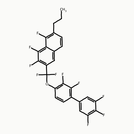 CCCc1ccc2cc(C(F)(F)Oc3ccc(-c4cc(F)c(F)c(F)c4)c(F)c3F)c(F)c(F)c2c1F